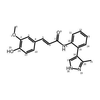 COc1cc(/C=C/C(=O)Nc2ccccc2-c2c[nH]nc2C)ccc1O